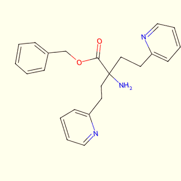 NC(CCc1ccccn1)(CCc1ccccn1)C(=O)OCc1ccccc1